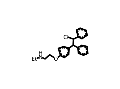 CCNCCOc1ccc(C(c2ccccc2)C(Cl)c2ccccc2)cc1